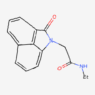 CCNC(=O)CN1C(=O)c2cccc3cccc1c23